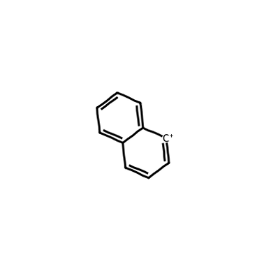 [C+]1=CC=Cc2ccccc21